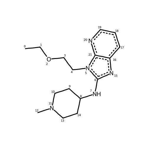 CCOCCn1c(NC2CCN(C)CC2)nc2cccnc21